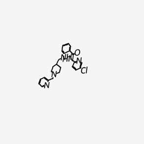 O=C(Nc1ccc(Cl)cn1)c1ccccc1NCC1CCN(Cc2ccccn2)CC1